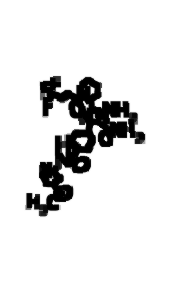 COc1ccnc(NC(=O)c2ccc(-c3nc(C4CCCCN4C(=O)C=CC(F)(F)F)n(N)c3C(N)=O)cc2)c1